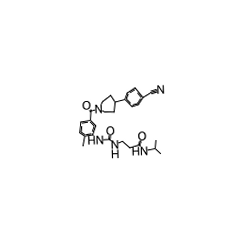 Cc1ccc(C(=O)N2CCC(c3ccc(C#N)cc3)CC2)cc1NC(=O)NCCC(=O)NC(C)C